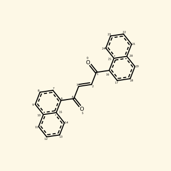 O=C(C=CC(=O)c1cccc2ccccc12)c1cccc2ccccc12